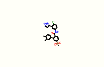 Cc1ccc(-c2cc(S(C)(=O)=O)ccc2C(=O)Nc2ccc(Cl)c(-c3cc[nH]n3)c2)cc1C